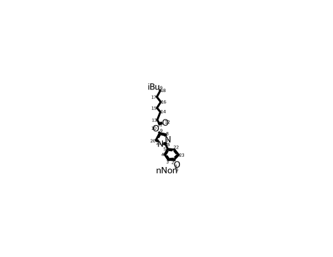 CCCCCCCCCOc1ccc(-c2ncc(OC(=O)CCCCCCC(C)CC)cn2)cc1